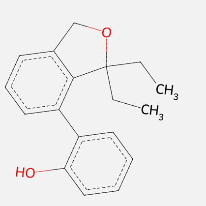 CCC1(CC)OCc2cccc(-c3ccccc3O)c21